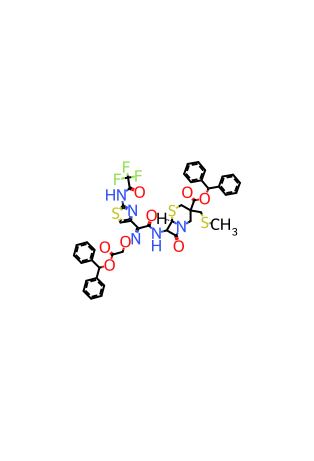 CSCC1(C(=O)OC(c2ccccc2)c2ccccc2)CS[C@@H]2C(NC(=O)C(=NOCC(=O)OC(c3ccccc3)c3ccccc3)c3csc(NC(=O)C(F)(F)F)n3)C(=O)N2C1